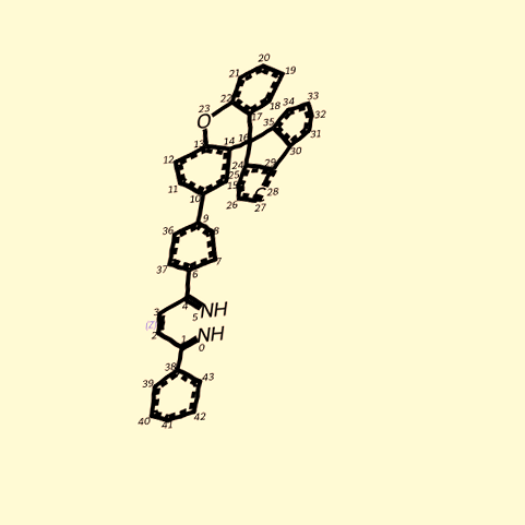 N=C(/C=C\C(=N)c1ccc(-c2ccc3c(c2)C2(c4ccccc4O3)c3ccccc3-c3ccccc32)cc1)c1ccccc1